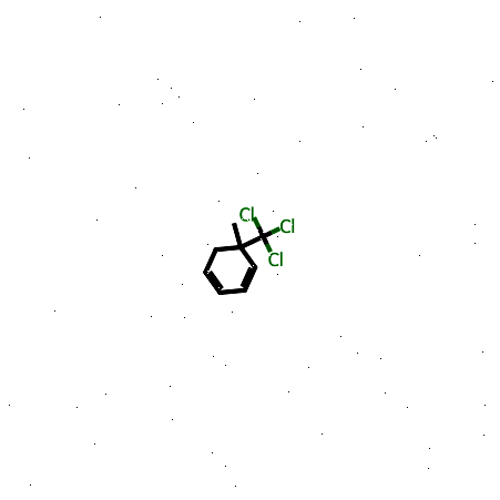 CC1(C(Cl)(Cl)Cl)C=CC=CC1